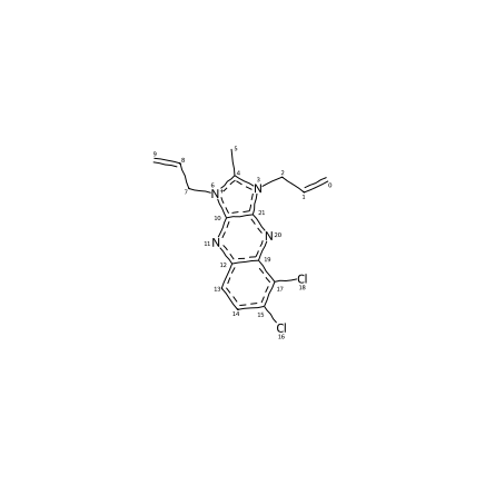 C=CCn1c(C)[n+](CC=C)c2nc3ccc(Cl)c(Cl)c3nc21